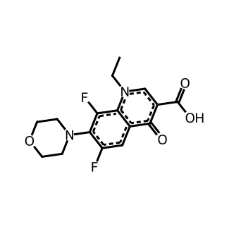 CCn1cc(C(=O)O)c(=O)c2cc(F)c(N3CCOCC3)c(F)c21